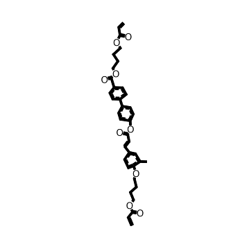 C=CC(=O)OCCCCOC(=O)c1ccc(-c2ccc(OC(=O)/C=C/c3ccc(OCCCCOC(=O)C=C)c(C)c3)cc2)cc1